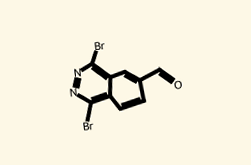 O=[C]c1ccc2c(Br)nnc(Br)c2c1